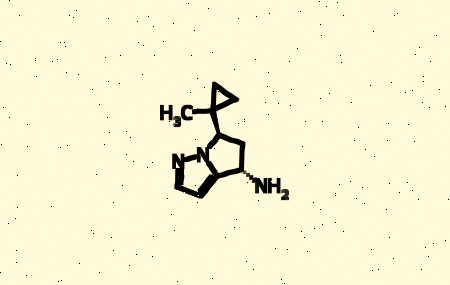 CC1([C@H]2C[C@H](N)c3ccnn32)CC1